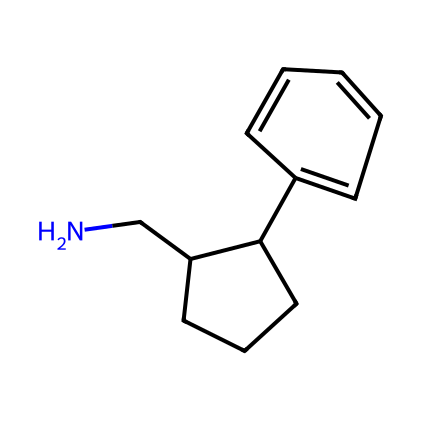 NCC1CCCC1c1ccccc1